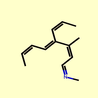 C\C=C/C=C(\C=C/C)C(/C)=C\C=N/C